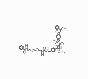 CC(CC(=O)N1CCC(O)(Cn2cnc3c(-c4ccc(CNCC(=O)NCCOCCOCCNC(=O)c5ccccc5)cc4)n(C)nc3c2=O)CC1)c1ccccc1